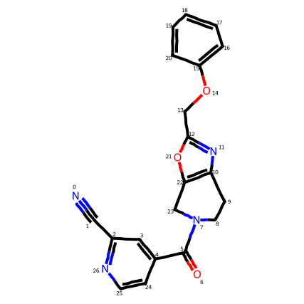 N#Cc1cc(C(=O)N2CCc3nc(COc4ccccc4)oc3C2)ccn1